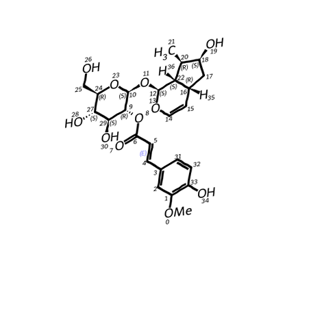 COc1cc(/C=C/C(=O)O[C@H]2[C@H](O[C@@H]3OC=C[C@H]4C[C@H](O)[C@H](C)[C@@H]34)O[C@H](CO)[C@@H](O)[C@@H]2O)ccc1O